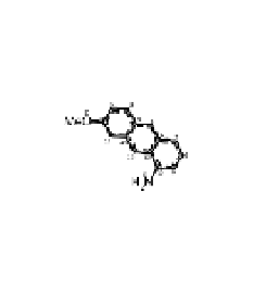 COc1ccc2cc3cccc(N)c3cc2c1